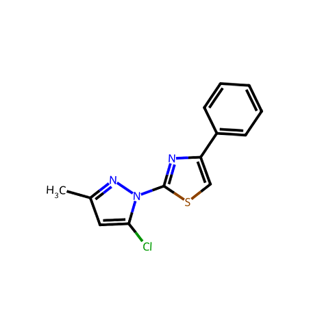 Cc1cc(Cl)n(-c2nc(-c3ccccc3)cs2)n1